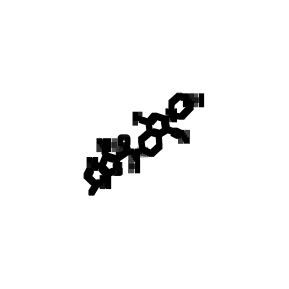 Cc1cnc2c(N)c(C(=O)N[C@H]3CCc4c(C#N)c(N5CCNCC5)cc(F)c4C3)sc2n1